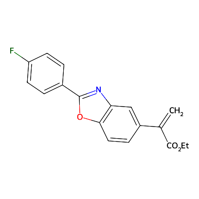 C=C(C(=O)OCC)c1ccc2oc(-c3ccc(F)cc3)nc2c1